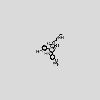 CCNCCCN1C(=O)N2C(c3cccc(O)c3)c3[nH]c4ccc(OC(F)F)cc4c3CC2(C)C1=O